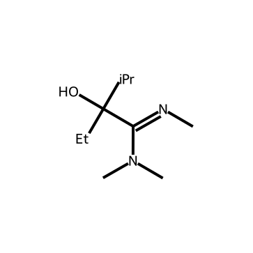 CCC(O)(C(=NC)N(C)C)C(C)C